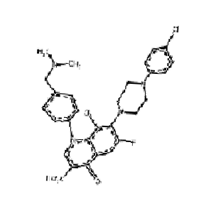 CN(C)Cc1ccc(-n2cc(C(=O)O)c(=O)c3cc(F)c(N4CCN(c5ccc(Cl)cc5)CC4)c(Cl)c32)cc1